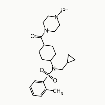 Cc1ccccc1S(=O)(=O)N(CC1CC1)C1CCC(C(=O)N2CCN(C(C)C)CC2)CC1